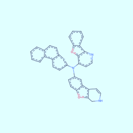 C1=Cc2c(oc3ccc(N(c4ccc5c(ccc6ccccc65)c4)c4ccnc5c4oc4ccccc45)cc23)CN1